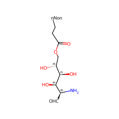 CCCCCCCCCCCC(=O)OC[C@@H](O)[C@@H](O)[C@H](O)[C@@H](N)C=O